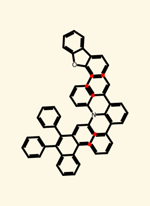 c1ccc(-c2cccc(-c3ccccc3)c2N(c2cccc(-c3cccc4c3oc3ccccc34)c2)c2ccc3c(c2)c(-c2ccccc2)c(-c2ccccc2)c2ccccc23)cc1